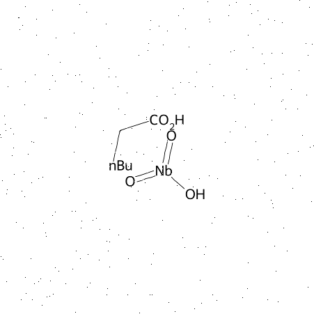 CCCCCC(=O)O.[O]=[Nb](=[O])[OH]